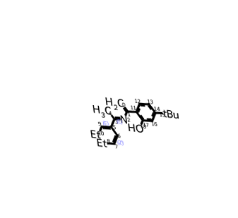 C=C(/N=C(C)/C(/C=C\CC)=C/CC)c1ccc(C(C)(C)C)cc1O